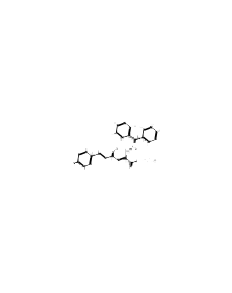 COC(=O)C(=CC(=O)C=Cc1ccc(F)cc1)NN=C(c1ccccc1)c1ccccc1